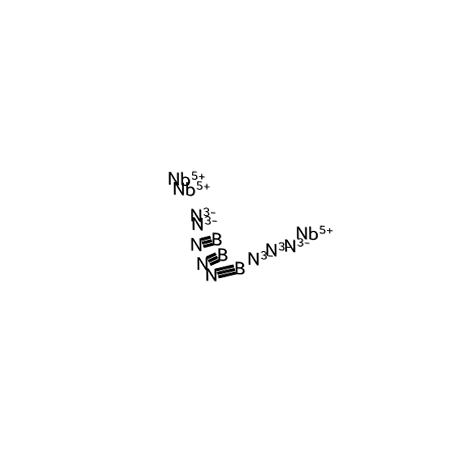 B#N.B#N.B#N.[N-3].[N-3].[N-3].[N-3].[N-3].[Nb+5].[Nb+5].[Nb+5]